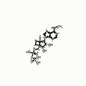 CNc1ncnc2c1ncn2[C@H]1[C@H](O)[C@H](O)[C@]2(COP(=O)(O)OP(=O)(O)O)CC[C@H]12